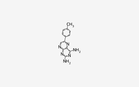 Cc1ccc(-c2cnc3nc(N)nc(N)c3n2)cc1